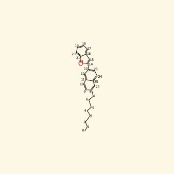 CCCCCCCCc1ccc2cc(-c3cc4ccccc4o3)ccc2c1